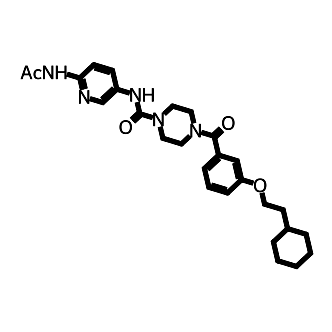 CC(=O)Nc1ccc(NC(=O)N2CCN(C(=O)c3cccc(OCCC4CCCCC4)c3)CC2)cn1